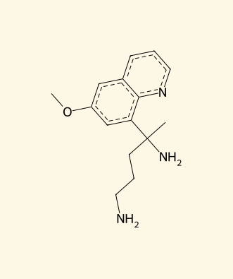 COc1cc(C(C)(N)CCCN)c2ncccc2c1